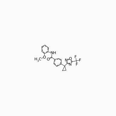 COc1ccccc1NC(=O)c1ccc(C2(c3noc(C(F)(F)F)n3)CC2)cc1